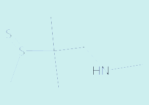 CNCC(C)(C)S(C)=S